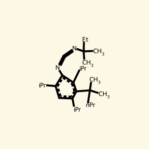 CCCC(C)(C)c1c(C(C)C)cc(C(C)C)c(N=C=NC(C)(C)CC)c1C(C)C